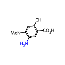 CNc1cc(C)c(C(=O)O)cc1N